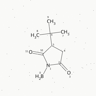 BN1C(=O)CC(C(C)(C)C)C1=O